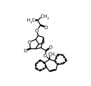 C=C(C)C(=O)OC1C2CC3C1OC(=O)C3C2C(=O)OC1(C)c2ccccc2C=Cc2ccccc21